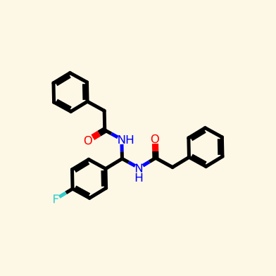 O=C(Cc1ccccc1)NC(NC(=O)Cc1ccccc1)c1ccc(F)cc1